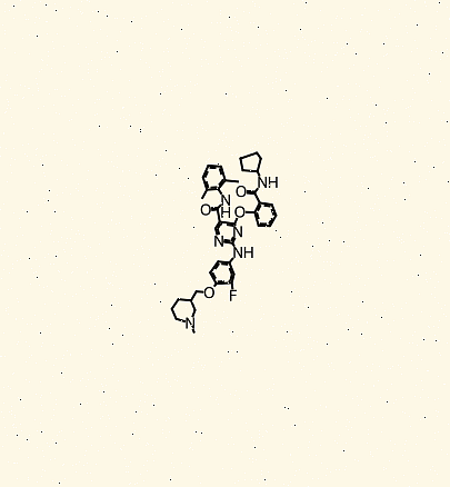 Cc1cccc(C)c1NC(=O)c1cnc(Nc2ccc(OCC3CCCN(C)C3)c(F)c2)nc1Oc1ccccc1C(=O)NC1CCCC1